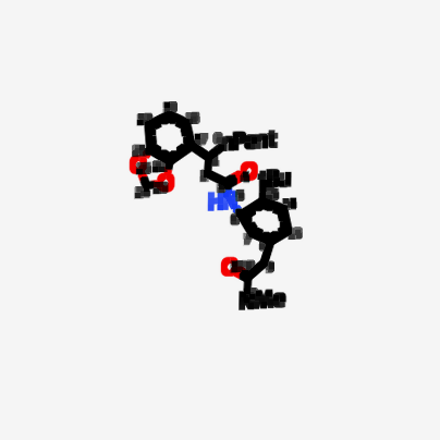 CCCCCC(CC(=O)Nc1cc(CC(=O)NC)ccc1C(C)(C)C)c1cccc2c1OCO2